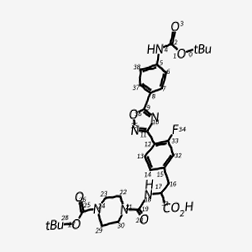 CC(C)(C)OC(=O)Nc1ccc(-c2nc(-c3ccc(CC(NC(=O)N4CCN(C(=O)OC(C)(C)C)CC4)C(=O)O)cc3F)no2)cc1